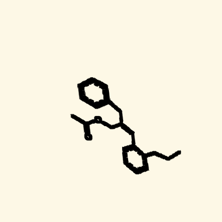 CCCc1ccccc1C=C(COC(C)=O)Cc1ccccc1